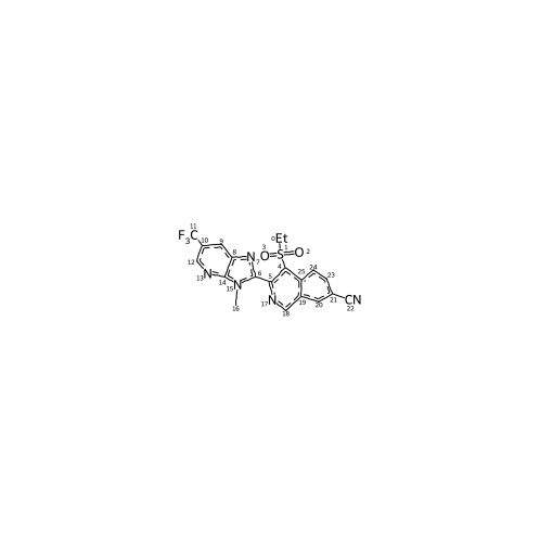 CCS(=O)(=O)c1c(-c2nc3cc(C(F)(F)F)cnc3n2C)ncc2cc(C#N)ccc12